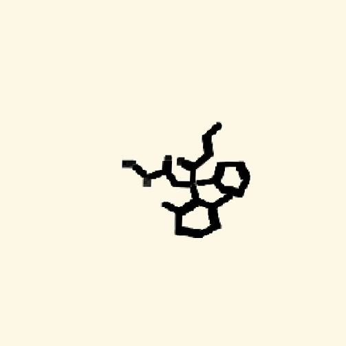 C/C=C/C(=O)[N+](CC(=O)NO)(c1ccccc1)c1c(C)cccc1C